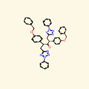 O=C(C(Cc1nnn(-c2ccccc2)n1)c1ccc(OCc2ccccc2)cc1)C(Cc1nnn(-c2ccccc2)n1)c1ccc(OCc2ccccc2)cc1